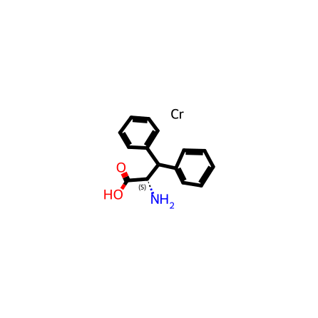 N[C@H](C(=O)O)C(c1ccccc1)c1ccccc1.[Cr]